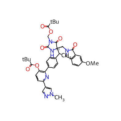 COc1ccc2c(c1)C(=O)N(C[C@@]1(C(C)c3ccc(-c4nc(-c5cnn(C)c5)ccc4OC(=O)C(C)(C)C)cc3)NC(=O)N(COC(=O)C(C)(C)C)C1=O)C2